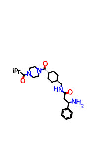 CC(C)C(=O)N1CCN(C(=O)[C@H]2CC[C@H](CNC(=O)CC(N)c3ccccc3)CC2)CC1